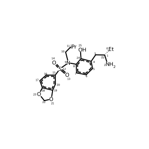 CC[C@H](N)Cc1cccc(N(CC(C)C)S(=O)(=O)c2ccc3c(c2)OCO3)c1O